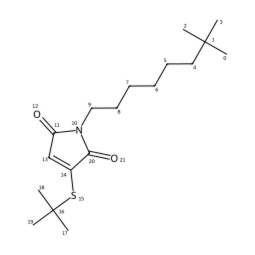 CC(C)(C)CCCCCCN1C(=O)C=C(SC(C)(C)C)C1=O